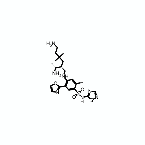 C[C@@H](N)[C@H](CNc1cc(F)c(S(=O)(=O)Nc2ncns2)cc1-c1ncco1)CC(C)(C)CCN